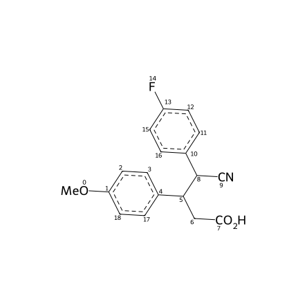 COc1ccc(C(CC(=O)O)C(C#N)c2ccc(F)cc2)cc1